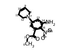 COC(=O)c1cc(N2CC=CCC2)cc(N)c1[N+](=O)[O-]